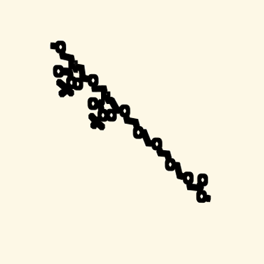 COCCN(CC(=O)OCCN(CC(=O)OCCOCCOCCOCCOCC(=O)OC)C(=O)OC(C)(C)C)C(=O)OC(C)(C)C